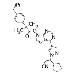 CC(C)Cc1ccc(C(C)(C)C(=O)On2ccc3c(-c4cnn([C@H](CC#N)C5CCCC5)c4)ncnc32)cc1